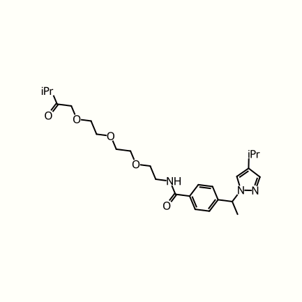 CC(C)C(=O)COCCOCCOCCNC(=O)c1ccc(C(C)n2cc(C(C)C)cn2)cc1